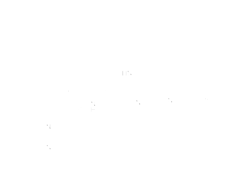 CC1CCC(C(NC(=O)c2ccnn2C)c2nc3nc(Br)ccc3[nH]2)CC1